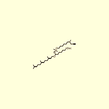 C#CCN(C)CCCCCCO[Si](C)(C)OC(CCCCCCCCCCCCCCC)OC/C=C(\C)CC/C=C(\C)CCC=C(C)C